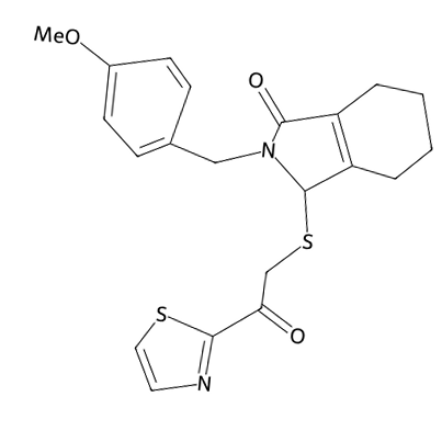 COc1ccc(CN2C(=O)C3=C(CCCC3)C2SCC(=O)c2nccs2)cc1